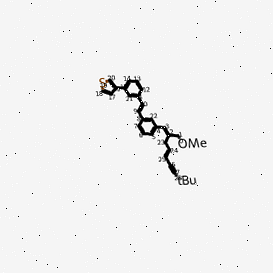 COCC(=Cc1cccc(C=Cc2cccc(-c3ccsc3)c2)c1)CC=CC#CC(C)(C)C